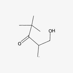 [CH2]C(CO)C(=O)C(C)(C)C